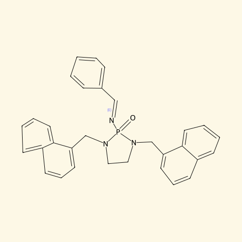 O=P1(/N=C/c2ccccc2)N(Cc2cccc3ccccc23)CCN1Cc1cccc2ccccc12